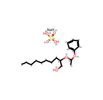 CCCCCCCCC(CO)OC(C)Oc1ccccc1.O=S(=O)(O)O.[NaH]